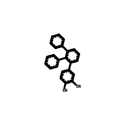 N#Cc1ccc(-c2cccc(-c3ccccc3)c2-c2ccccc2)cc1C#N